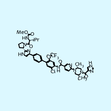 COC(=O)N[C@H](C(=O)N1CCC[C@H]1c1nc(-c2ccc(-c3cc(Cl)c(NC(=O)c4ccc(N5C[C@H](C)N(C(=O)c6c[nH]cn6)C[C@H]5C)nc4)cc3OC(F)(F)F)cc2)c[nH]1)C(C)C